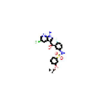 O=C(c1cc(NS(=O)(=O)c2cccc(OC(F)(F)F)c2)ccc1F)c1c[nH]c2ncc(Cl)cc12